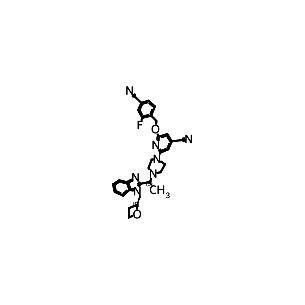 C[C@@H](c1nc2ccccc2n1C[C@@H]1CCO1)N1CCN(c2cc(C#N)cc(OCc3ccc(C#N)cc3F)n2)CC1